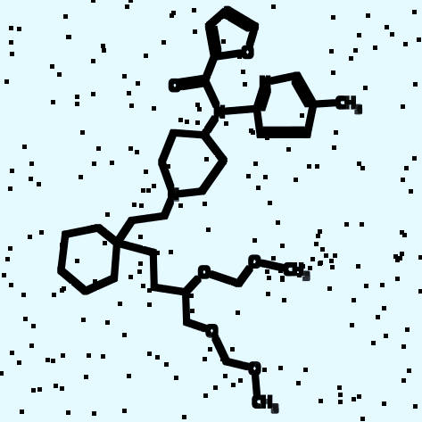 COCOCC(CCC1(CCN2CCC(N(C(=O)c3ccco3)c3ccc(C)cn3)CC2)CCCCC1)OCOC